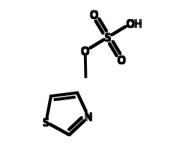 COS(=O)(=O)O.c1cscn1